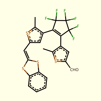 Cc1sc(C=O)cc1C1=C(c2cc(C=C3Sc4ccccc4S3)sc2C)C(F)(F)C(F)(F)C1(F)F